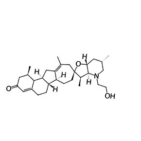 CC1=C2C[C@@H]3C4C(=CC(=O)C[C@H]4C)CC[C@H]3[C@@H]2CC[C@@]2(C1)O[C@@H]1C[C@H](C)CN(CCO)[C@H]1[C@H]2C